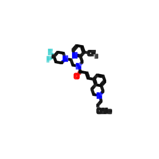 COCCN1CCc2c(/C=C/C(=O)N(CCN3CCC(F)(F)CC3)Cc3ncccc3C(F)(F)F)cccc2C1